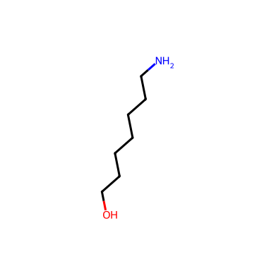 NCCCCCCCO